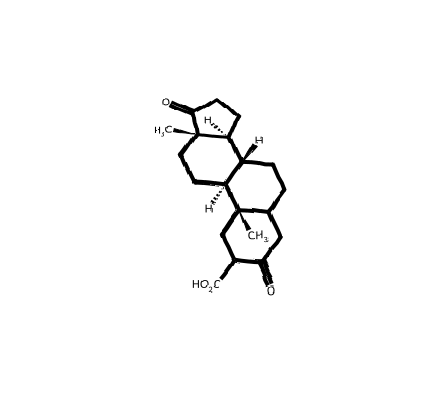 C[C@]12CC(C(=O)O)C(=O)CC1CC[C@@H]1[C@@H]2CC[C@]2(C)C(=O)CC[C@@H]12